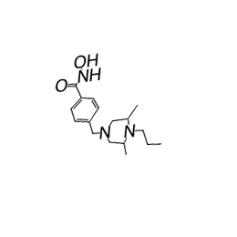 CCCN1C(C)CN(Cc2ccc(C(=O)NO)cc2)CC1C